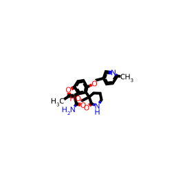 Cc1ccc(COc2ccc3oc(C)c(C(N)=O)c3c2C2(CO)CCCNC2=O)cn1